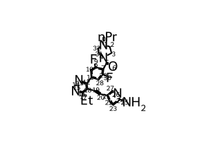 CCCN1CCN(C(=O)c2c(F)cc(-c3ncnc(CC)c3C#Cc3ccc(N)nc3)cc2F)CC1